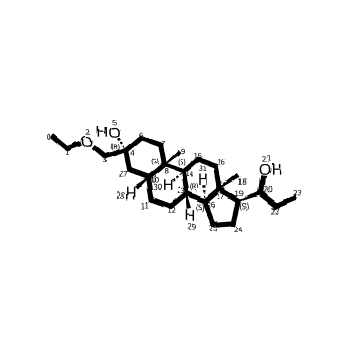 CCOC[C@@]1(O)CC[C@@]2(C)[C@H](CC[C@@H]3[C@@H]2CC[C@]2(C)[C@@H](C(O)CC)CC[C@@H]32)C1